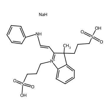 CC1(CCCS(=O)(=O)O)C(/C=C/Nc2ccccc2)=[N+](CCCS(=O)(=O)O)c2ccccc21.[NaH]